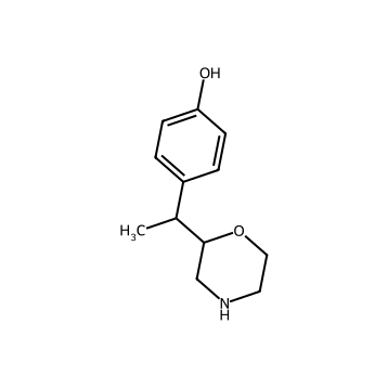 CC(c1ccc(O)cc1)C1CNCCO1